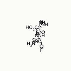 Nc1nc(C(=NOCc2ccc(F)cc2)C(=O)NC2C(=O)N3CC(CSc4nnn[nH]4)(C(=O)O)CS[C@H]23)cs1